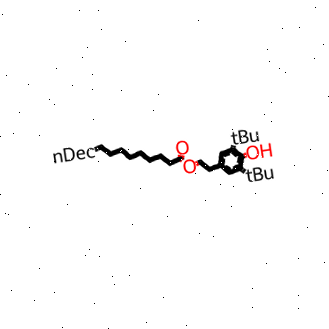 CCCCCCCCCCCCCCCCCCC(=O)OCCc1cc(C(C)(C)C)c(O)c(C(C)(C)C)c1